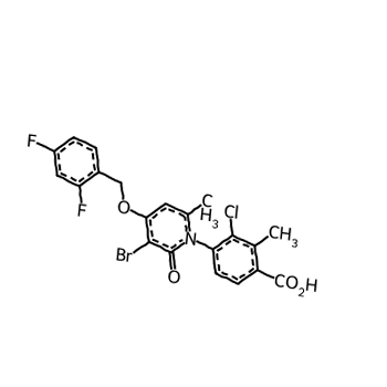 Cc1c(C(=O)O)ccc(-n2c(C)cc(OCc3ccc(F)cc3F)c(Br)c2=O)c1Cl